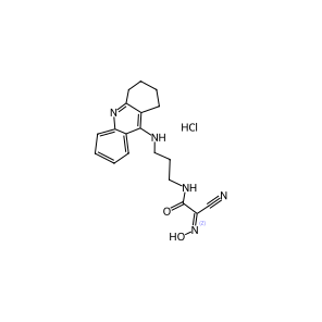 Cl.N#C/C(=N/O)C(=O)NCCCNc1c2c(nc3ccccc13)CCCC2